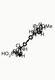 COC(=O)N[C@H](C(=O)N1[C@@H]2C[C@@H]2C[C@H]1c1nc(-c2ccc(C#Cc3ccc(-c4[nH]c([C@@H]5C[C@H]6C[C@H]6N5C(=O)[C@H](C(C)C)N(C)C(=O)O)nc4Cl)cc3)cc2)c[nH]1)C(C)C